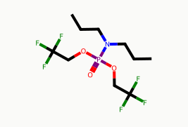 CCCN(CCC)P(=O)(OCC(F)(F)F)OCC(F)(F)F